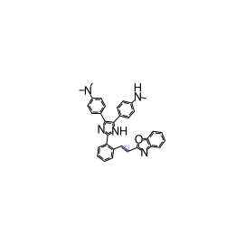 CNc1ccc(-c2[nH]c(-c3ccccc3/C=C/c3nc4ccccc4o3)nc2-c2ccc(N(C)C)cc2)cc1